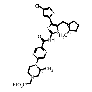 CCOC(=O)CN1CCN(c2cnc(C(=O)Nc3nc(-c4cc(Cl)cs4)c(CN4CCC[C@H]4C)s3)cn2)[C@@H](C)C1